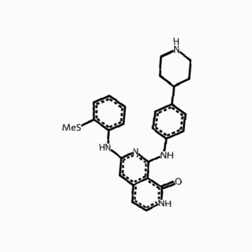 CSc1ccccc1Nc1cc2cc[nH]c(=O)c2c(Nc2ccc(C3CCNCC3)cc2)n1